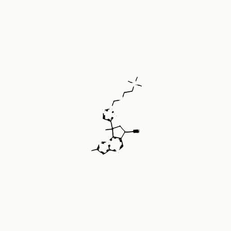 CC1(c2cnn(COCC[Si](C)(C)C)n2)CC(C#N)c2cnc3cc(F)nn3c21